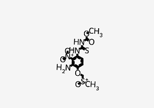 COC(=O)NC(=S)Nc1ccc(OC[S+](C)[O-])c(N)c1[N+](=O)[O-]